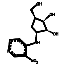 O=[N+]([O-])c1cnccc1N[C@H]1C[C@@H](CO)[C@H](O)[C@@H]1O